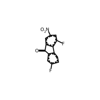 O=C1c2cc(F)ccc2-c2c(F)cc([N+](=O)[O-])cc21